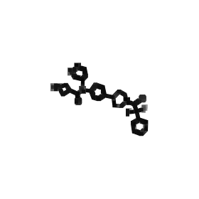 O=C(C1CNC1)N(c1ccc(C2CCN(C(=O)C(F)(F)c3ccccc3)CC2)cc1)c1ccnnc1